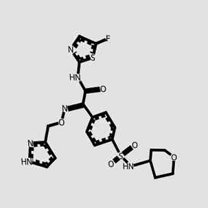 O=C(Nc1ncc(F)s1)/C(=N/OCc1cc[nH]n1)c1ccc(S(=O)(=O)NC2CCOCC2)cc1